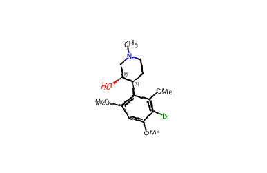 COc1cc(OC)c([C@@H]2CCN(C)C[C@@H]2O)c(OC)c1Br